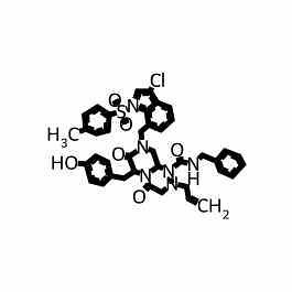 C=CCN1CC(=O)N2C(Cc3ccc(O)cc3)C(=O)N(Cc3cccc4c(Cl)cn(S(=O)(=O)c5ccc(C)cc5)c34)CC2N1C(=O)NCc1ccccc1